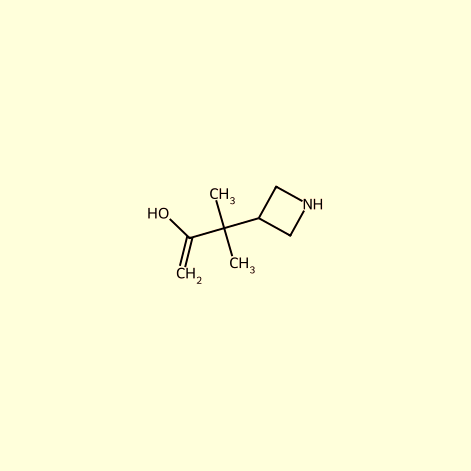 C=C(O)C(C)(C)C1CNC1